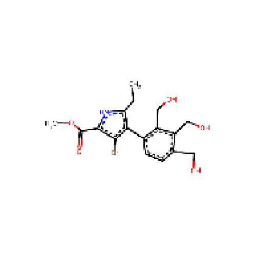 CCc1[nH]c(C(=O)OC)c(Br)c1-c1ccc(CO)c(CO)c1CO